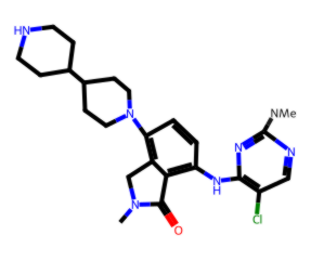 CNc1ncc(Cl)c(Nc2ccc(N3CCC(C4CCNCC4)CC3)c3c2C(=O)N(C)C3)n1